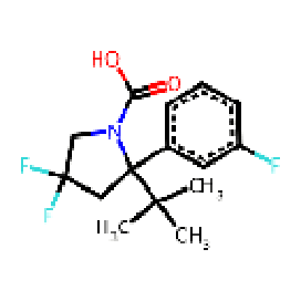 CC(C)(C)C1(c2cccc(F)c2)CC(F)(F)CN1C(=O)O